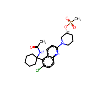 CC(=O)NC1(c2c(Cl)ccc3nc(N4CCC[C@@H](OS(C)(=O)=O)C4)ccc23)CCCCC1